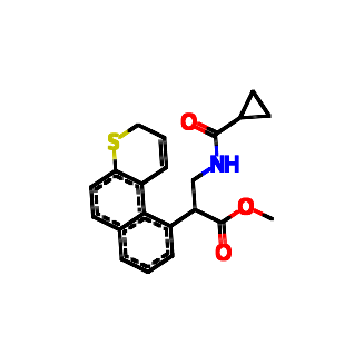 COC(=O)C(CNC(=O)C1CC1)c1cccc2ccc3c(c12)C=CCS3